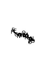 COc1cc(-c2cc(C)c3c(n2)CN(c2ccc(OCCC(F)(F)F)nc2)C3=O)cnc1OC